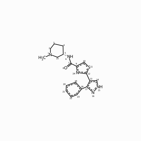 CN1CCC[C@H](NC(=O)c2csc(-c3c[nH]nc3-c3ccccc3)n2)C1